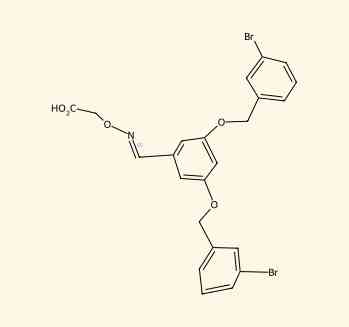 O=C(O)CO/N=C/c1cc(OCc2cccc(Br)c2)cc(OCc2cccc(Br)c2)c1